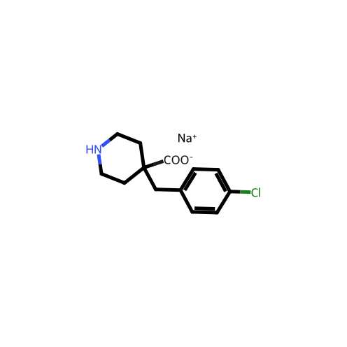 O=C([O-])C1(Cc2ccc(Cl)cc2)CCNCC1.[Na+]